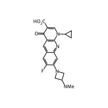 CNC1CN(c2cc3nc4c(cc3cc2F)c(=O)c(C(=O)O)cn4C2CC2)C1